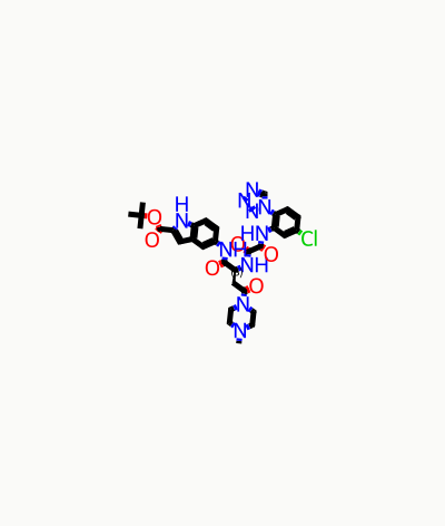 CN1CCN(C(=O)C[C@H](NC(=O)C(=O)Nc2cc(Cl)ccc2-n2cnnn2)C(=O)Nc2ccc3[nH]c(C(=O)OC(C)(C)C)cc3c2)CC1